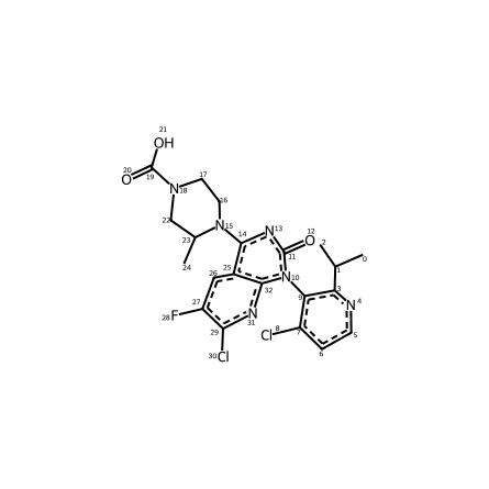 CC(C)c1nccc(Cl)c1-n1c(=O)nc(N2CCN(C(=O)O)CC2C)c2cc(F)c(Cl)nc21